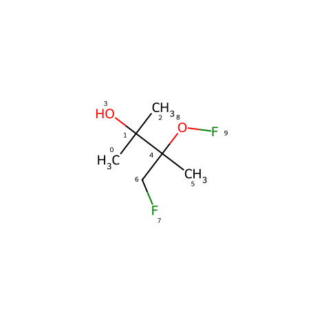 CC(C)(O)C(C)(CF)OF